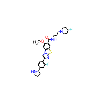 COc1cc2c(cc1C(=O)NCCCN1CCC(F)CC1)sc1nc(-c3ccc(C4CCCN4)cc3F)cn12